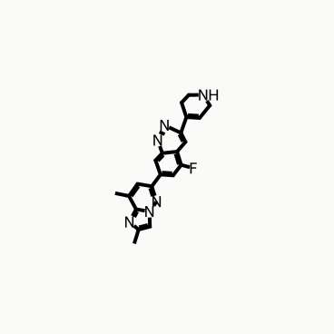 Cc1cn2nc(-c3cc(F)c4cc(C5=CCNCC5)nnc4c3)cc(C)c2n1